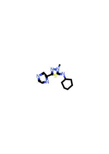 Cn1nc(-c2cnccn2)s/c1=N\C1CCCCC1